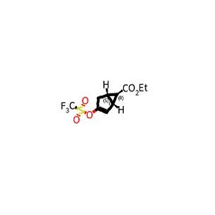 CCOC(=O)[C@H]1[C@@H]2C=C(OS(=O)(=O)C(F)(F)F)C[C@@H]21